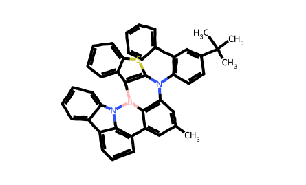 Cc1cc2c3c(c1)N(c1ccc(C(C)(C)C)cc1-c1ccccc1)c1sc4ccccc4c1B3n1c3ccccc3c3cccc-2c31